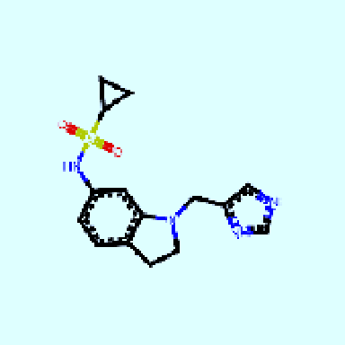 O=S(=O)(Nc1ccc2c(c1)N(Cc1c[nH]cn1)CC2)C1CC1